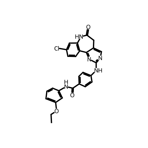 CCOc1cccc(NC(=O)c2ccc(Nc3ncc4c(n3)-c3ccc(Cl)cc3NC(=O)C4)cc2)c1